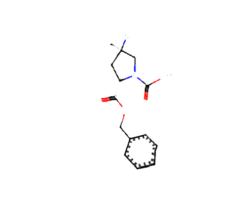 C[C@]1(N)C[C@@H](C(=O)OCc2ccccc2)N(C(=O)O)C1